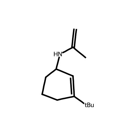 C=C(C)NC1C=C(C(C)(C)C)CCC1